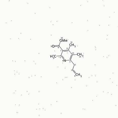 C=CCc1nc(C)c(C(=O)OC)c(C)c1C